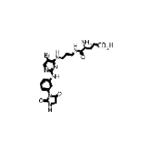 N[C@@H](CCC(=O)O)C(=O)NCCCNc1nc(Nc2cccc(N3C(=O)CNC3=O)c2)ncc1Br